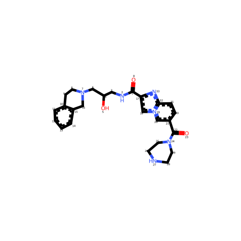 O=C(NCC(O)CN1CCc2ccccc2C1)c1cn2cc(C(=O)N3CCNCC3)ccc2n1